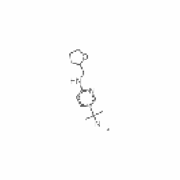 CC(C)(N)c1ccc(NCC2CCCO2)nc1